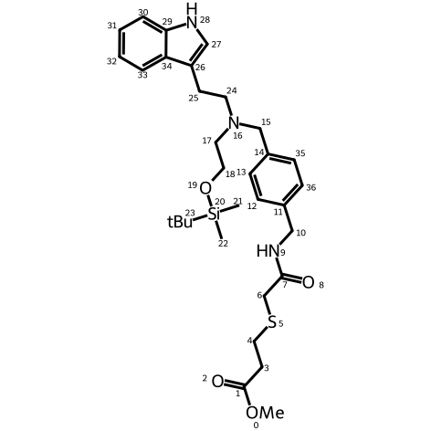 COC(=O)CCSCC(=O)NCc1ccc(CN(CCO[Si](C)(C)C(C)(C)C)CCc2c[nH]c3ccccc23)cc1